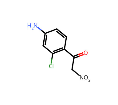 Nc1ccc(C(=O)C[N+](=O)[O-])c(Cl)c1